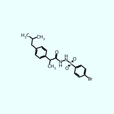 CC(C)Cc1ccc(C(C)C(=O)NNS(=O)(=O)c2ccc(Br)cc2)cc1